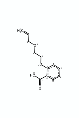 C=CCOCCOc1ccccc1C(=O)O